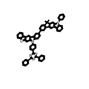 CC1(C)c2ccc(-c3ccc4c(c3)c3cc5c(cc3n4-c3ccc(-c4nc(-c6ccccc6)nc(-c6ccccc6)n4)cc3)oc3ccccc35)cc2-c2cc3c4ccccc4n(-c4ccccc4)c3cc21